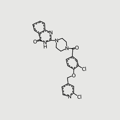 O=C(c1ccc(OCc2ccnc(Cl)c2)c(Cl)c1)N1CCN(c2nc3ccccc3c(=O)[nH]2)CC1